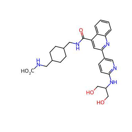 O=C(O)NCC1CCC(CNC(=O)c2cc(-c3ccc(NC(CO)CO)nc3)nc3ccccc23)CC1